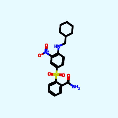 NC(=O)c1ccccc1S(=O)(=O)c1ccc(NCC2CCCCC2)c([N+](=O)[O-])c1